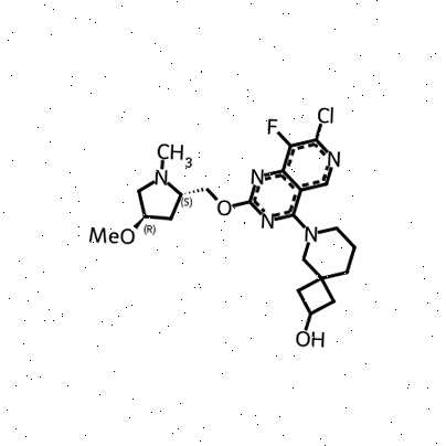 CO[C@@H]1C[C@@H](COc2nc(N3CCCC4(CC(O)C4)C3)c3cnc(Cl)c(F)c3n2)N(C)C1